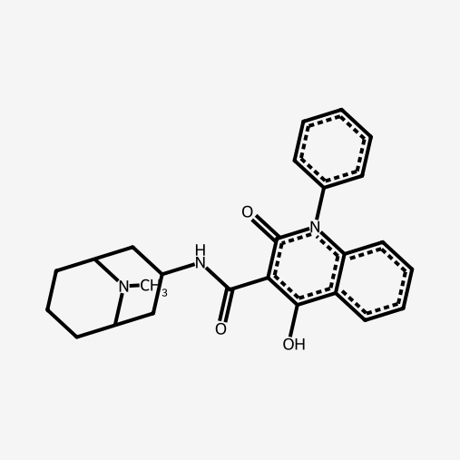 CN1C2CCCC1CC(NC(=O)c1c(O)c3ccccc3n(-c3ccccc3)c1=O)C2